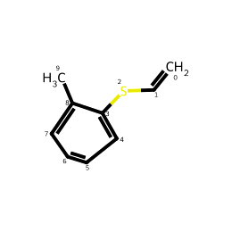 C=CSc1ccccc1C